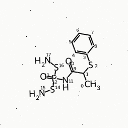 CC(Sc1ccccc1)C(=O)NP(=O)(SN)SN